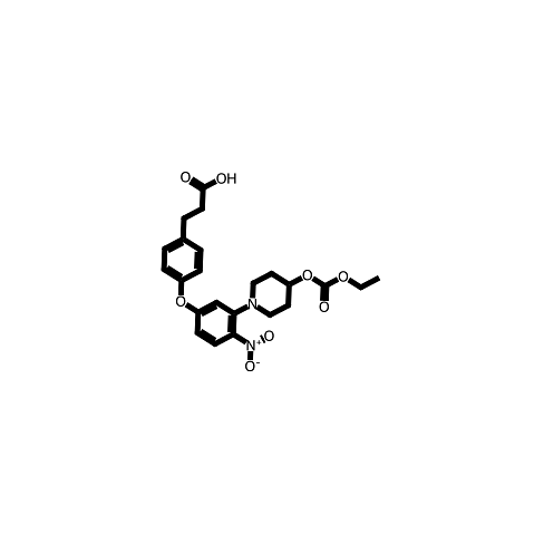 CCOC(=O)OC1CCN(c2cc(Oc3ccc(CCC(=O)O)cc3)ccc2[N+](=O)[O-])CC1